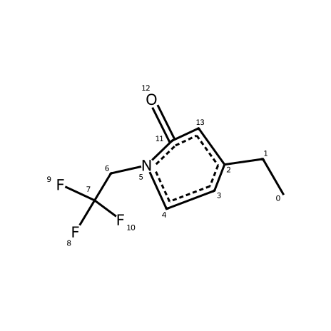 CCc1ccn(CC(F)(F)F)c(=O)c1